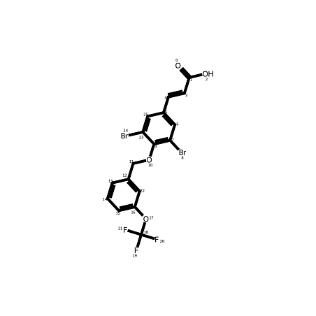 O=C(O)C=Cc1cc(Br)c(OCc2cccc(OC(F)(F)F)c2)c(Br)c1